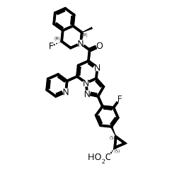 C[C@@H]1c2ccccc2[C@@H](F)CN1C(=O)c1cc(-c2ccccn2)n2nc(-c3ccc([C@H]4C[C@@H]4C(=O)O)cc3F)cc2n1